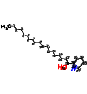 CCCCCCCCCCCCCCCCCCC(O)c1ccccn1